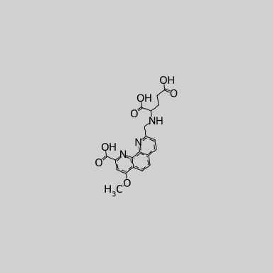 COc1cc(C(=O)O)nc2c1ccc1ccc(CNC(CCC(=O)O)C(=O)O)nc12